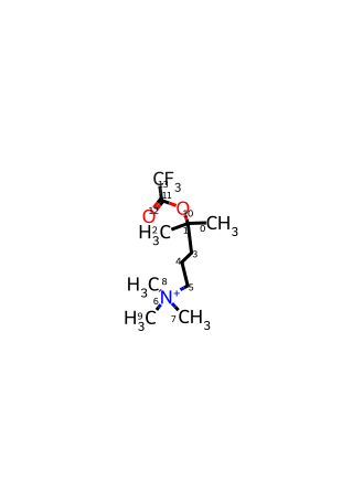 CC(C)(CCC[N+](C)(C)C)OC(=O)C(F)(F)F